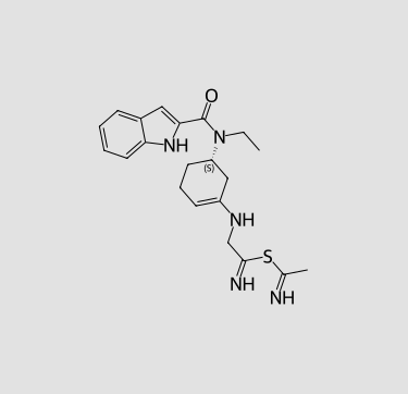 CCN(C(=O)c1cc2ccccc2[nH]1)[C@H]1CCC=C(NCC(=N)SC(C)=N)C1